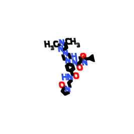 Cc1cc(N2CCN(c3ccc(C(=O)NCCCN4CCCC4=O)cc3NC(=O)c3coc(C4CC4)n3)CC2)nc(C)n1